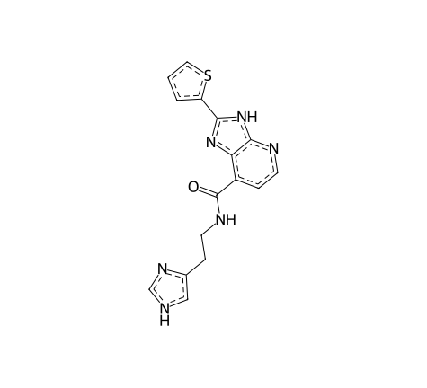 O=C(NCCc1c[nH]cn1)c1ccnc2[nH]c(-c3cccs3)nc12